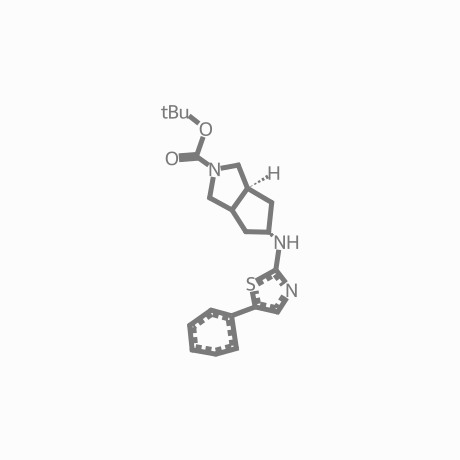 CC(C)(C)OC(=O)N1CC2C[C@@H](Nc3ncc(-c4ccccc4)s3)C[C@@H]2C1